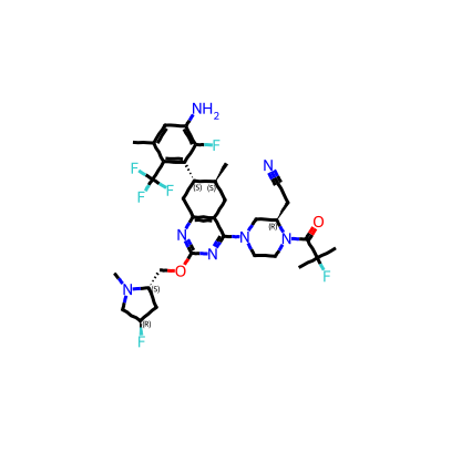 Cc1cc(N)c(F)c([C@H]2Cc3nc(OC[C@@H]4C[C@@H](F)CN4C)nc(N4CCN(C(=O)C(C)(C)F)[C@H](CC#N)C4)c3C[C@@H]2C)c1C(F)(F)F